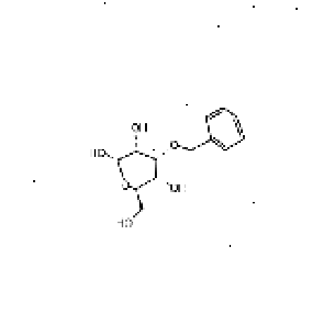 OC[C@H]1O[C@H](O)[C@H](O)[C@H](OCc2ccccc2)[C@@H]1O